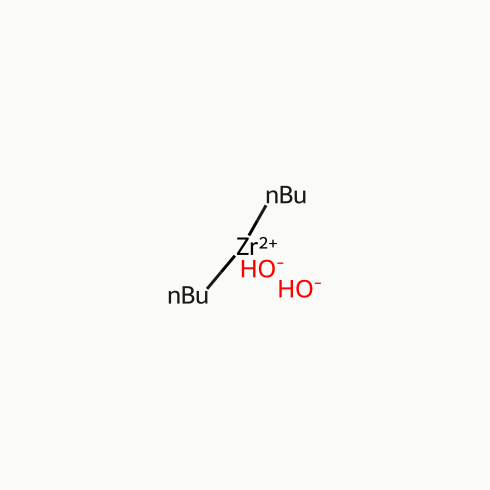 CCC[CH2][Zr+2][CH2]CCC.[OH-].[OH-]